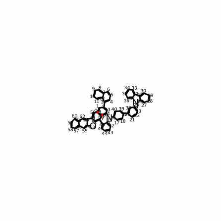 c1cc(-c2cccc3ccccc23)cc(N(c2ccc(-c3cccc(-n4c5ccccc5c5ccccc54)c3)cc2)c2ccccc2-c2cccc3c2oc2cc4ccccc4cc23)c1